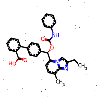 CCc1cn2c([C@H](OC(=O)Nc3ccccc3)c3ccc(-c4ccccc4C(=O)O)cc3)ccc(C)c2n1